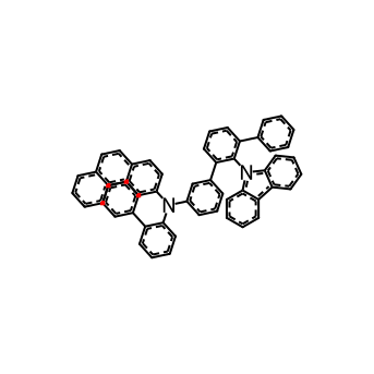 c1ccc(-c2ccccc2N(c2cccc(-c3cccc(-c4ccccc4)c3-n3c4ccccc4c4ccccc43)c2)c2ccc3ccc4ccccc4c3c2)cc1